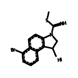 CSC(=N)N1CC(C)c2c1ccc1c(Br)cccc21.I